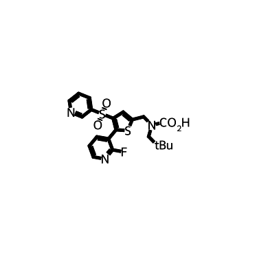 CC(C)(C)CN(Cc1cc(S(=O)(=O)c2cccnc2)c(-c2cccnc2F)s1)C(=O)O